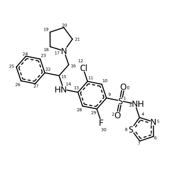 O=S(=O)(Nc1nccs1)c1cc(Cl)c(NC(CN2CCCC2)c2ccccc2)cc1F